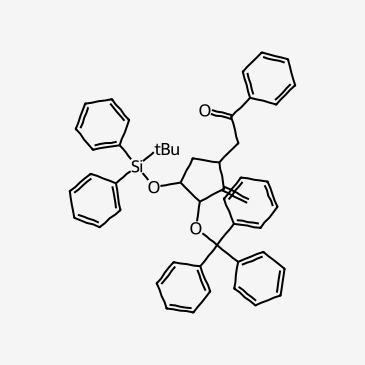 C=C1C(CC(=O)c2ccccc2)CC(O[Si](c2ccccc2)(c2ccccc2)C(C)(C)C)C1OC(c1ccccc1)(c1ccccc1)c1ccccc1